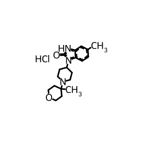 Cc1ccc2c(c1)[nH]c(=O)n2C1CCN(C2(C)CCOCC2)CC1.Cl